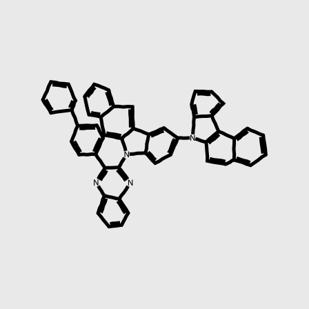 c1ccc(-c2ccc(-c3nc4ccccc4nc3-n3c4ccc(-n5c6ccccc6c6c7ccccc7ccc65)cc4c4cc5ccccc5cc43)cc2)cc1